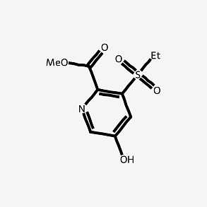 CCS(=O)(=O)c1cc(O)cnc1C(=O)OC